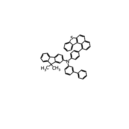 CC1(C)c2ccccc2-c2ccc(N(c3ccc(-c4cccc5ccc6sc7ccccc7c6c45)cc3)c3cccc(-c4ccccc4)c3)cc21